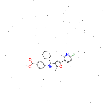 COC(=O)c1ccc(NC(c2cc(-c3ccc(F)nc3)oc2C)C2CCCCC2)cc1